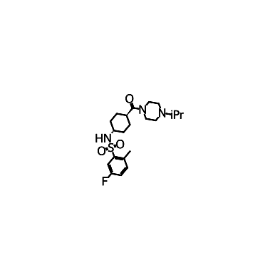 Cc1ccc(F)cc1S(=O)(=O)N[C@H]1CC[C@H](C(=O)N2CCN(C(C)C)CC2)CC1